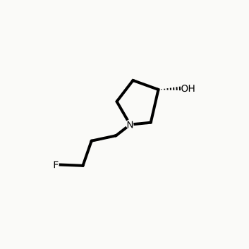 O[C@H]1CCN(CCCF)C1